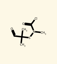 CN(SC(C)(C)C=O)C(=O)Cl